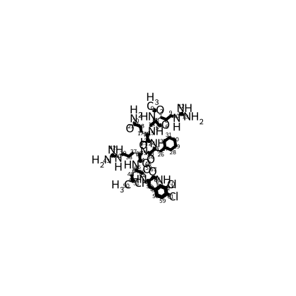 CC(=O)N[C@](C=O)(CCCNC(=N)N)CN[C@@H](CCC(N)=O)C(=O)N[C@@H](CC1CCCCC1)C(=O)N[C@@H](CCCNC(=N)N)C(=O)N[C@@H](CC(C)C)C(=O)NC(Cc1ccc(Cl)c(Cl)c1)C(N)=O